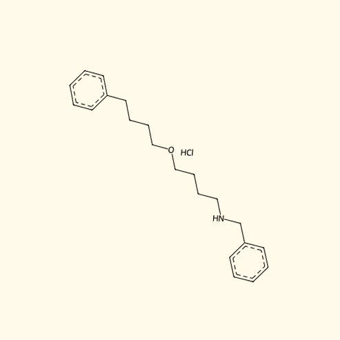 Cl.c1ccc(CCCCOCCCCNCc2ccccc2)cc1